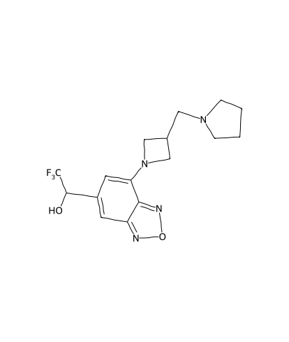 OC(c1cc(N2CC(CN3CCCC3)C2)c2nonc2c1)C(F)(F)F